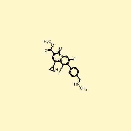 CNCc1ccc(-c2c(F)cn3c(=O)c(C(=O)OC)cc(C4CC4)c3c2C)cc1